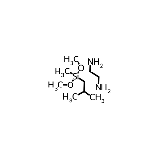 CO[Si](C)(CC(C)C)OC.NCCN